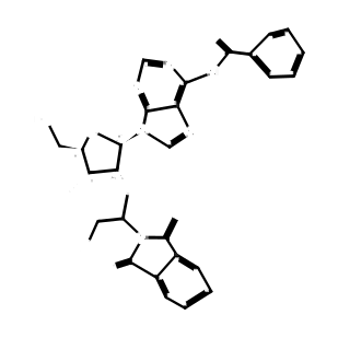 CCC(O[C@@H]1[C@H](O)[C@@H](CO)O[C@H]1n1cnc2c(NC(=O)c3ccccc3)ncnc21)N1C(=O)c2ccccc2C1=O